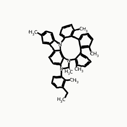 CCc1cccc(N2c3ccc4c5cc(C)ccc5n5c4c3N(c3c(C)cccc3-c3c(C)cccc3-c3c(C)cccc3-5)[C@@H]2C)c1C